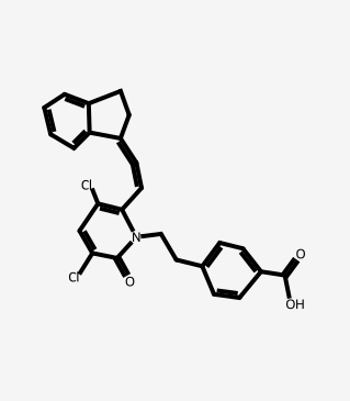 O=C(O)c1ccc(CCn2c(C=C=C3CCc4ccccc43)c(Cl)cc(Cl)c2=O)cc1